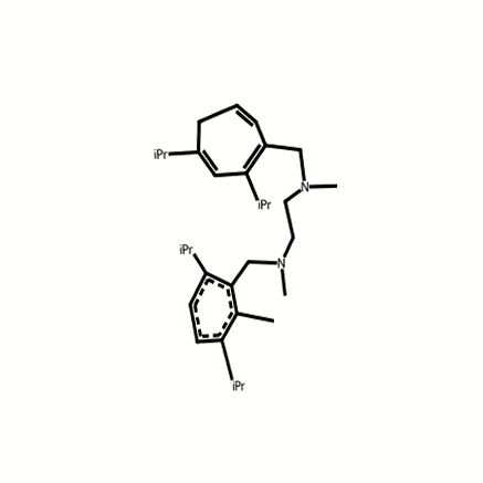 Cc1c(C(C)C)ccc(C(C)C)c1CN(C)CCN(C)CC1=C(C(C)C)C=C(C(C)C)CC=C1